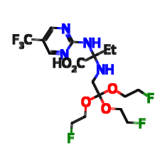 CCC(NCC(OCCF)(OCCF)OCCF)(Nc1ncc(C(F)(F)F)cn1)C(=O)O